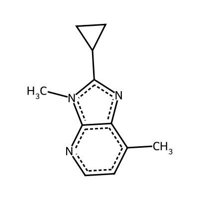 Cc1ccnc2c1nc(C1CC1)n2C